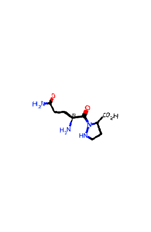 NC(=O)CC[C@H](N)C(=O)N1NCCC1C(=O)O